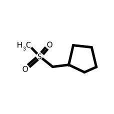 CS(=O)(=O)C[C]1CCCC1